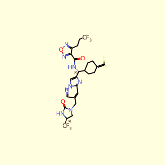 O=C(N[C@@H](c1cn2ncc(CN3C[C@@H](C(F)(F)F)NC3=O)cc2n1)C1CCC(=C(F)F)CC1)c1nonc1CCC(F)(F)F